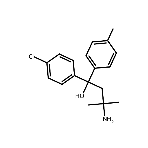 CC(C)(N)CC(O)(c1ccc(Cl)cc1)c1ccc(I)cc1